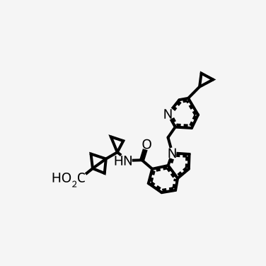 O=C(NC1(C23CC2(C(=O)O)C3)CC1)c1cccc2ccn(Cc3ccc(C4CC4)cn3)c12